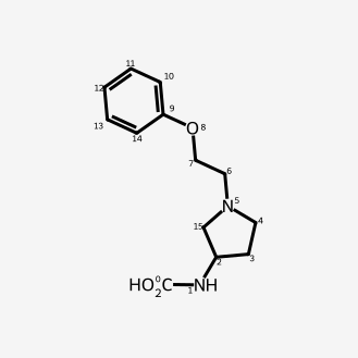 O=C(O)NC1CCN(CCOc2ccccc2)C1